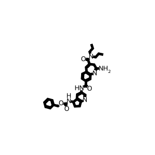 CCCN(CCC)C(=O)C1=Cc2ccc(C(=O)Nc3cnc4c(c3)C(NC(=O)OCc3ccccc3)CC4)cc2N=C(N)C1